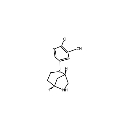 N#Cc1cc(N2CC[C@@H]3C[C@H]2CN3)cnc1Cl